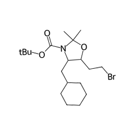 CC(C)(C)OC(=O)N1C(CC2CCCCC2)C(CCBr)OC1(C)C